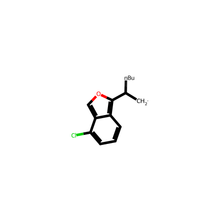 [CH2]C(CCCC)c1occ2c(Cl)cccc12